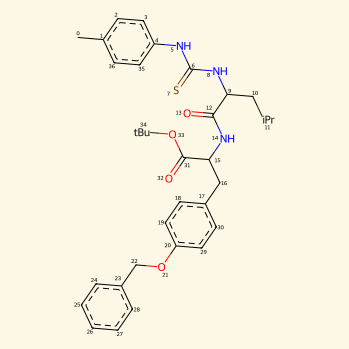 Cc1ccc(NC(=S)NC(CC(C)C)C(=O)NC(Cc2ccc(OCc3ccccc3)cc2)C(=O)OC(C)(C)C)cc1